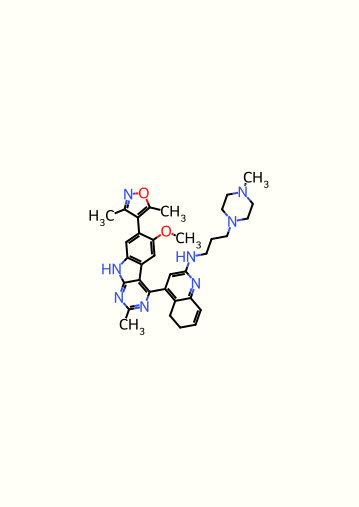 COc1cc2c(cc1-c1c(C)noc1C)[nH]c1nc(C)nc(-c3cc(NCCCN4CCN(C)CC4)nc4c3CCC=C4)c12